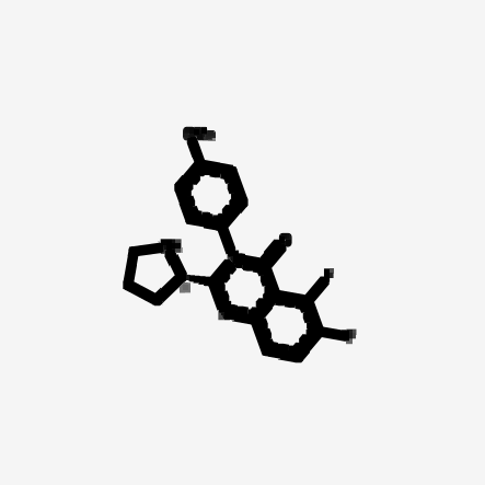 COc1ccc(-n2c([C@@H]3CCCN3)nc3ccc(F)c(F)c3c2=O)cc1